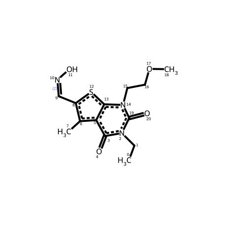 CCn1c(=O)c2c(C)c(/C=N\O)sc2n(CCOC)c1=O